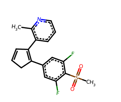 Cc1ncccc1C1=C(c2cc(F)c(S(C)(=O)=O)c(F)c2)CC=C1